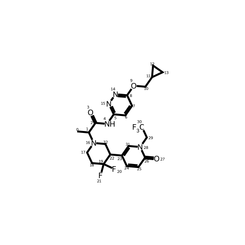 CC(C(=O)Nc1ccc(OCC2CC2)nn1)N1CCC(F)(F)C(c2ccc(=O)n(CC(F)(F)F)c2)C1